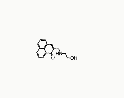 O=C1C(CNCCO)=Cc2cccc3cccc1c23